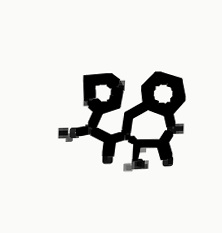 CC[C@H](C)[C@H]1C(=O)Nc2ccccc2CN1C(=O)N(C)c1cnccn1